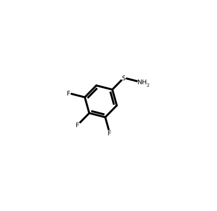 NSc1cc(F)c(F)c(F)c1